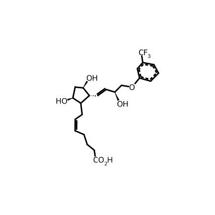 O=C(O)CCC/C=C\CC1[C@@H](/C=C/[C@H](O)COc2cccc(C(F)(F)F)c2)[C@H](O)C[C@@H]1O